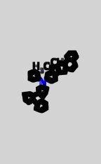 CC1(C)c2cc(N(c3ccccc3)c3cccc(-c4ccccc4-c4ccccc4)c3)ccc2-c2cc3ccc4ccccc4c3cc21